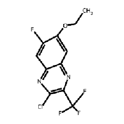 CCOc1cc2nc(C(F)(F)F)c(Cl)nc2cc1F